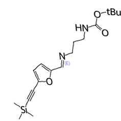 CC(C)(C)OC(=O)NCCC/N=C/c1ccc(C#C[Si](C)(C)C)o1